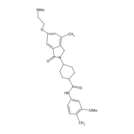 CNCCOc1cc(C)c2c(c1)C(=O)N(C1CCC(C(=O)Nc3ccc(C)c(OC)c3)CC1)C2